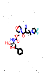 CC(C)(/C=C(\C#N)C(=O)N1CCOC[C@@H]1COC(=O)N[C@@H](CCc1ccccc1)B(O)O)N1CCC(F)(F)C1